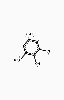 O=C(O)c1cccc(O)c1O.[CaH2]